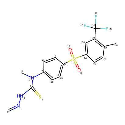 C=NNC(=S)N(C)c1ccc(S(=O)(=O)c2ccc(C)c(C(F)(F)F)c2)cc1